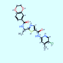 C[C@@H](NC(=O)c1ccc2c(c1)OCCO2)c1ncc(C(=O)Nc2cc(C(F)(F)F)c(Cl)cn2)s1